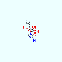 N#CC1=C([O-])N([C@@H]2O[C@H](C(O)C(=O)c3ccccc3)[C@@H](O)[C@H]2O)[C+]=N1